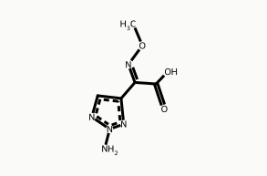 CON=C(C(=O)O)c1cnn(N)n1